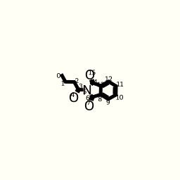 CCCC(=O)N1C(=O)c2ccccc2C1=O